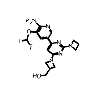 Nc1ncc(-c2cc(N3CC(CO)C3)nc(N3CCC3)n2)cc1OC(F)F